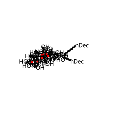 CCCCCCCCCCCCC/C=C/[C@@H](O)[C@H](CO[C@@H]1OC(CO)[C@@H](O[C@@H]2OC(CO)[C@H](O[C@@H]3OC(CO)[C@H](O)[C@H](O[C@@H]4OC(CO)[C@H](O)[C@H](O[C@@H]5OC(CO)[C@@H](O[C@@H]6OC(CO)[C@H](O)[C@H](O)C6O)[C@H](O[C@H]6OC(C)[C@@H](O)C(O)[C@@H]6O)C5NC(C)=O)C4O)C3NC(C)=O)[C@H](O[C@]3(C(=O)O)CC(O)[C@@H](NC(C)=O)C([C@H](O)[C@H](O)CO)O3)C2O)[C@H](O)C1O)NC(=O)CCCCCCCCCCCCCCCCCCC